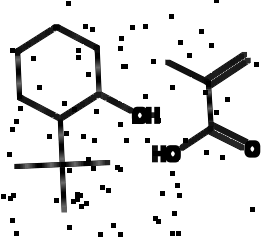 C=C(C)C(=O)O.CC(C)(C)C1CCCCC1O